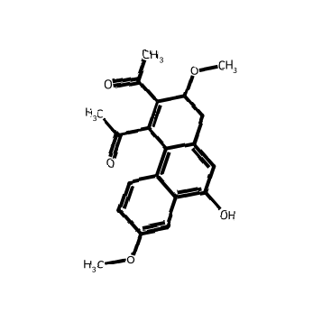 COc1ccc2c3c(cc(O)c2c1)CC(OC)C(C(C)=O)=C3C(C)=O